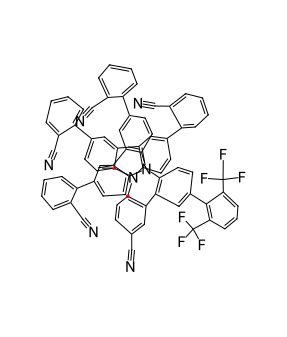 N#Cc1ccc(-n2c3ccc(-c4ccccc4C#N)cc3c3cc(-c4ccccc4C#N)ccc32)c(-c2cc(-c3c(C(F)(F)F)cccc3C(F)(F)F)ccc2-n2c3ccc(-c4ccccc4C#N)cc3c3cc(-c4ccccc4C#N)ccc32)c1